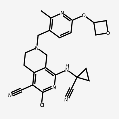 Cc1nc(OC2COC2)ccc1CN1CCc2c(C#N)c(Cl)nc(NC3(C#N)CC3)c2C1